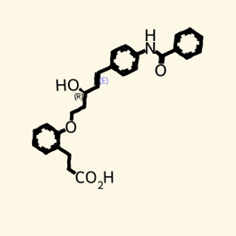 O=C(O)CCc1ccccc1OCC[C@@H](O)/C=C/c1ccc(NC(=O)c2ccccc2)cc1